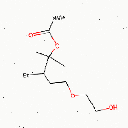 CCC(CCOCCO)C(C)(C)OC(=O)NC